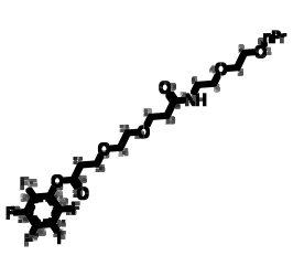 CCCOCCOCCNC(=O)CCOCCOCCC(=O)Oc1c(F)c(F)c(F)c(F)c1F